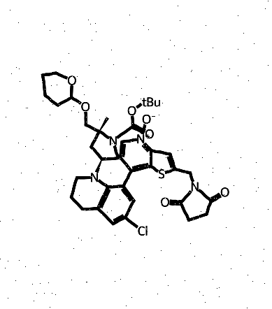 CC(C)(C)OC(=O)N1C[C@@H](N2CCCc3cc(Cl)cc(-c4cc[n+]([O-])c5cc(CN6C(=O)CCC6=O)sc45)c32)C[C@]1(C)COC1CCCCO1